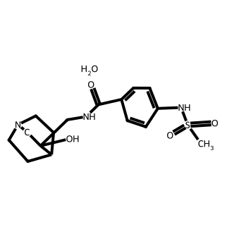 CS(=O)(=O)Nc1ccc(C(=O)NCC2(O)CN3CCC2CC3)cc1.O